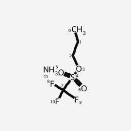 CCCOS(=O)(=O)C(F)(F)F.N